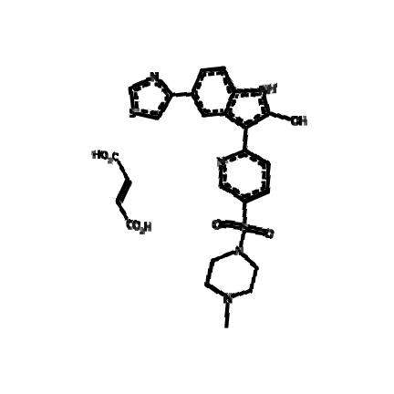 CN1CCN(S(=O)(=O)c2ccc(-c3c(O)[nH]c4ccc(-c5cscn5)cc34)nc2)CC1.O=C(O)/C=C/C(=O)O